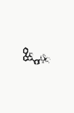 CC(C)(C)N[S+]([O-])c1cncc(-c2nc(N)c3c(-c4ccccc4)cccc3n2)c1